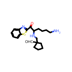 NCCCCC(NCC1(C=O)CCCC1)C(=O)c1nc2ccccc2s1